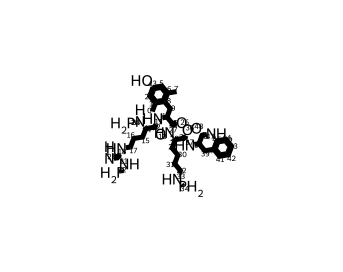 Cc1cc(O)cc(C)c1CC(NC(=O)C(CCCNC(=N)NP)NP)C(=O)NC(CCCCNP)C(=O)NC(Cc1ccccc1)C(N)=O